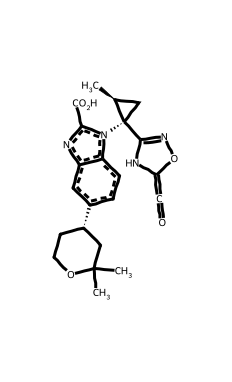 C[C@H]1C[C@]1(C1=NOC(=C=O)N1)n1c(C(=O)O)nc2cc([C@H]3CCOC(C)(C)C3)ccc21